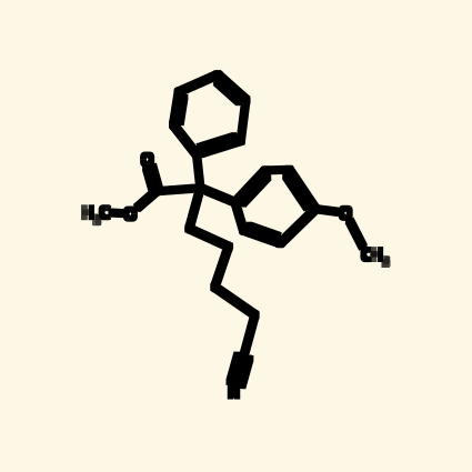 COC(=O)C(CCCCC#N)(c1ccccc1)c1ccc(OC)cc1